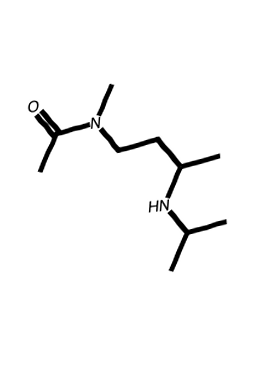 CC(=O)N(C)CCC(C)NC(C)C